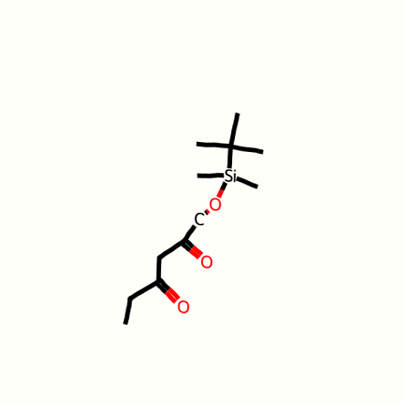 CCC(=O)CC(=O)CO[Si](C)(C)C(C)(C)C